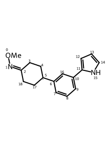 CON=C1CC[C](c2cccc(-c3ccc[nH]3)c2)CC1